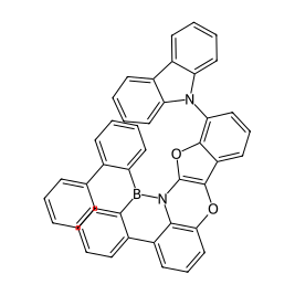 c1ccc(-c2ccccc2B2c3ccccc3-c3cccc4c3N2c2oc3c(-n5c6ccccc6c6ccccc65)cccc3c2O4)cc1